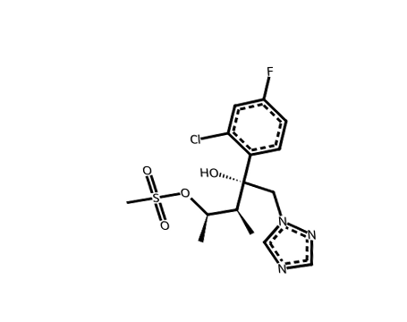 C[C@@H](OS(C)(=O)=O)[C@H](C)[C@](O)(Cn1cncn1)c1ccc(F)cc1Cl